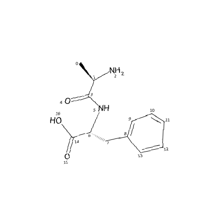 C[C@@H](N)C(=O)N[C@H](Cc1ccccc1)C(=O)O